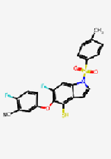 Cc1ccc(S(=O)(=O)n2ccc3c(S)c(Oc4ccc(F)c(C#N)c4)c(F)cc32)cc1